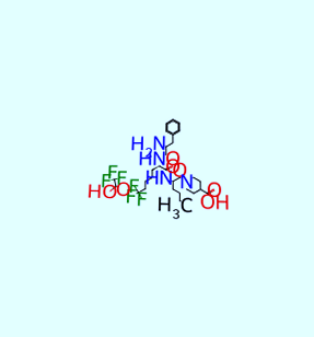 CCCCC(NC(=O)[C@@H](CCCCC(F)(F)F)NC(=O)[C@H](N)Cc1ccccc1)C(=O)N1CCC(C(=O)O)CC1.O=C(O)C(F)(F)F